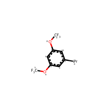 [CH2]C(C)c1cc(OC(F)(F)F)cc(OC(F)(F)F)c1